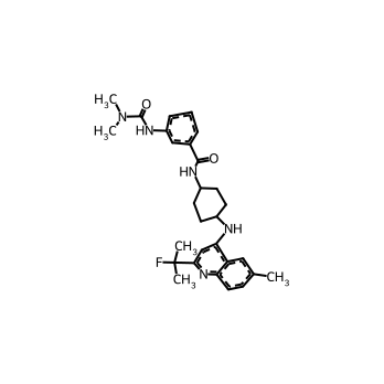 Cc1ccc2nc(C(C)(C)F)cc(NC3CCC(NC(=O)c4cccc(NC(=O)N(C)C)c4)CC3)c2c1